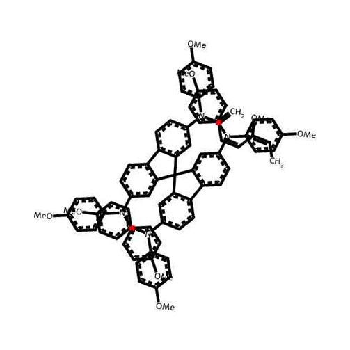 C=C(/C=C\C(=C/C)OC)N(c1ccc(OC)cc1)c1ccc2c(c1)C1(c3cc(N(c4ccc(OC)cc4)c4ccc(OC)cc4)ccc3-2)c2cc(N(c3ccc(OC)cc3)c3ccc(OC)cc3)ccc2-c2ccc(N(c3ccc(OC)cc3)c3ccc(OC)cc3)cc21